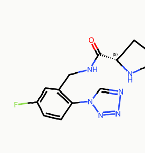 O=C(NCc1cc(F)ccc1-n1cnnn1)[C@@H]1CCCN1